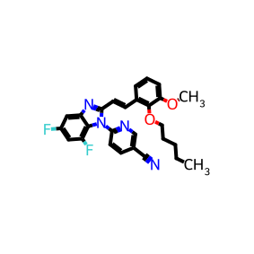 CCCCCOc1c(/C=C/c2nc3cc(F)cc(F)c3n2-c2ccc(C#N)cn2)cccc1OC